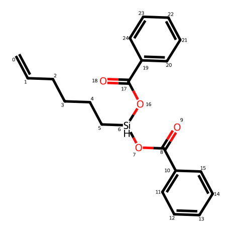 C=CCCCC[SiH](OC(=O)c1ccccc1)OC(=O)c1ccccc1